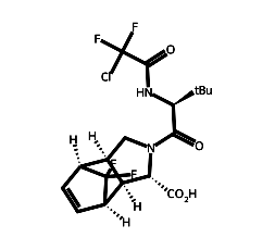 CC(C)(C)[C@H](NC(=O)C(F)(F)Cl)C(=O)N1C[C@H]2[C@@H]([C@H]1C(=O)O)[C@H]1C=C[C@@H]2C1(F)F